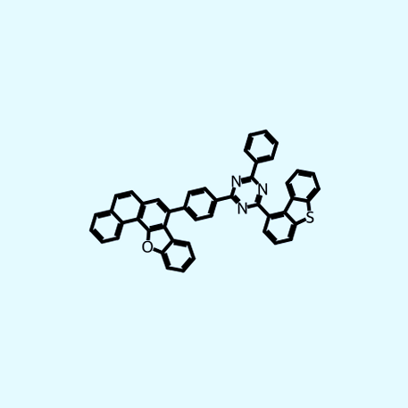 c1ccc(-c2nc(-c3ccc(-c4cc5ccc6ccccc6c5c5oc6ccccc6c45)cc3)nc(-c3cccc4sc5ccccc5c34)n2)cc1